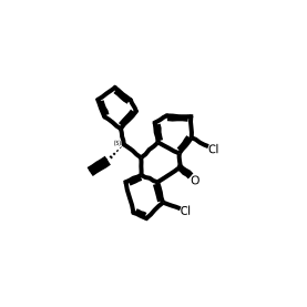 C#C[C@H](c1ccccc1)C1c2cccc(Cl)c2C(=O)c2c(Cl)cccc21